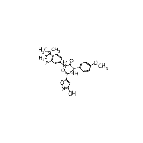 COc1ccc([C@@H](NC(=O)c2cc(O)no2)C(=O)Nc2ccc([Si](C)(C)C)c(F)c2)cc1